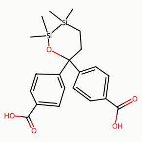 C[Si]1(C)CCC(c2ccc(C(=O)O)cc2)(c2ccc(C(=O)O)cc2)O[Si]1(C)C